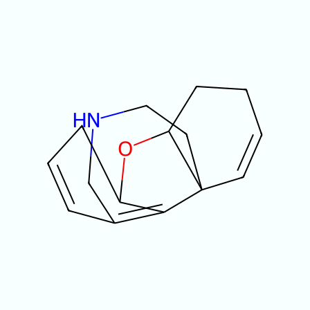 C1=CC23CCNCC4=C2C(CC=C4)OC3CC1